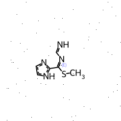 CS/C(=N/C=N)c1ncc[nH]1